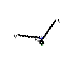 CCCCCCCCCCCCCCCCC(c1ccccc1)[N+](C)(C)CCCCCCCCCCCCCCCC.[Cl-]